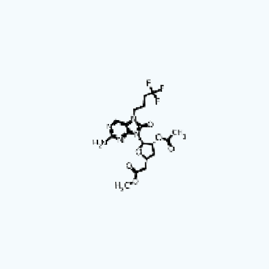 COC(=O)C[C@@H]1C[C@@H](OC(C)=O)[C@H](n2c(=O)n(CCCC(F)(F)F)c3cnc(N)nc32)O1